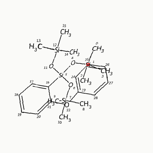 C[Si](C)(C)O[Si](O[Si](C)(C)C)(O[Si](C)(C)C)c1ccccc1Oc1ccccc1